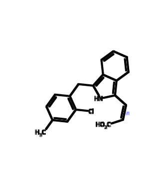 Cc1ccc(Cc2[nH]c(/C=C\C(=O)O)c3ccccc23)c(Cl)c1